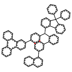 c1ccc(C2(c3ccccc3)c3ccccc3-c3c(N(c4ccc(-c5ccc6c7ccccc7c7ccccc7c6c5)cc4)c4ccccc4-c4cccc(-c5cccc6ccccc56)c4)cccc32)cc1